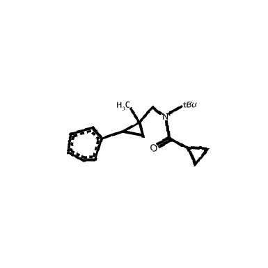 CC1(CN(C(=O)C2CC2)C(C)(C)C)CC1c1ccccc1